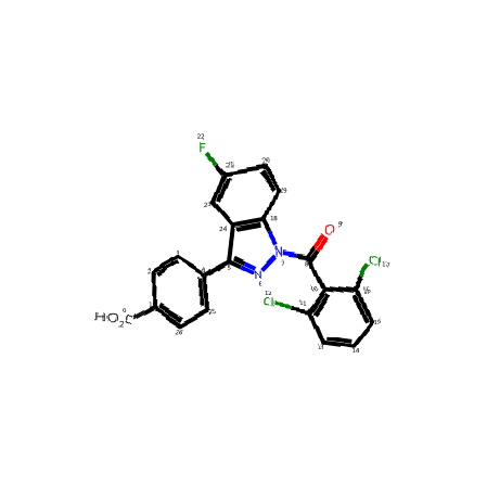 O=C(O)c1ccc(-c2nn(C(=O)c3c(Cl)cccc3Cl)c3ccc(F)cc23)cc1